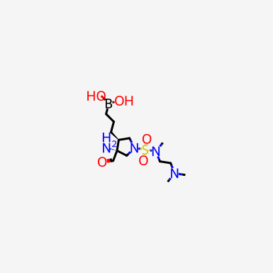 CN(C)CCN(C)S(=O)(=O)N1C[C@H](CCCB(O)O)[C@](N)(C=O)C1